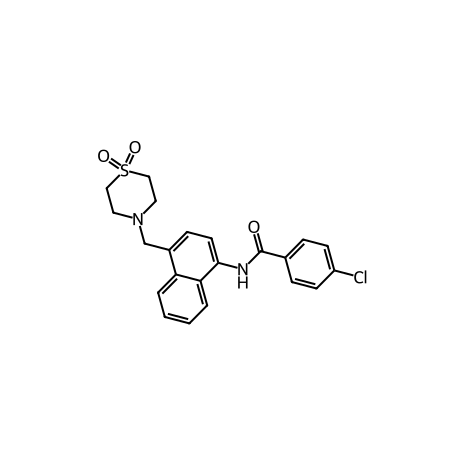 O=C(Nc1ccc(CN2CCS(=O)(=O)CC2)c2ccccc12)c1ccc(Cl)cc1